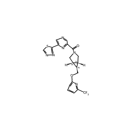 O=C(c1cncc(-c2nncs2)n1)N1C[C@@H]2[C@@H](COc3cccc(C(F)(F)F)n3)[C@@H]2C1